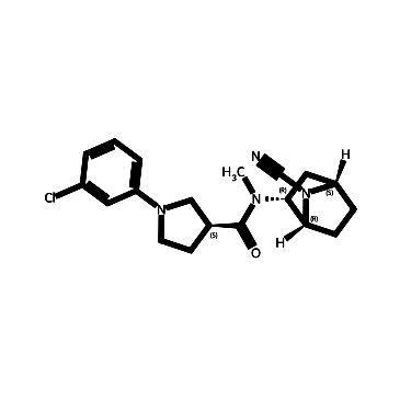 CN(C(=O)[C@H]1CCN(c2cccc(Cl)c2)C1)[C@@H]1C[C@@H]2CC[C@H]1N2C#N